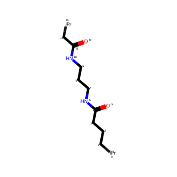 CC(C)CCCC(=O)NCCCNC(=O)CC(C)C